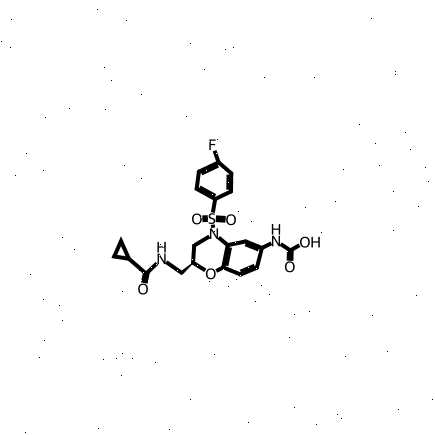 O=C(O)Nc1ccc2c(c1)N(S(=O)(=O)c1ccc(F)cc1)C[C@H](CNC(=O)C1CC1)O2